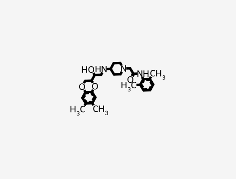 Cc1cc2c(cc1C)OC(C(O)CNC1CCN(CC(=O)Nc3c(C)cccc3C)CC1)CO2